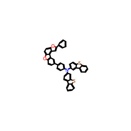 c1ccc(-c2cc3c(ccc4oc5ccc(-c6ccc(N(c7ccc8c(c7)sc7ccccc78)c7ccc8sc9ccccc9c8c7)cc6)cc5c43)o2)cc1